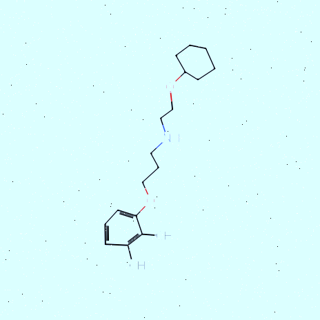 Cc1cccc(OCCCNCCOC2CCCCC2)c1C